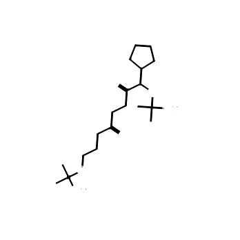 COC(C)(C)OCCCC(=O)CCC(=O)C(OC(C)(C)OC)C1CCCC1